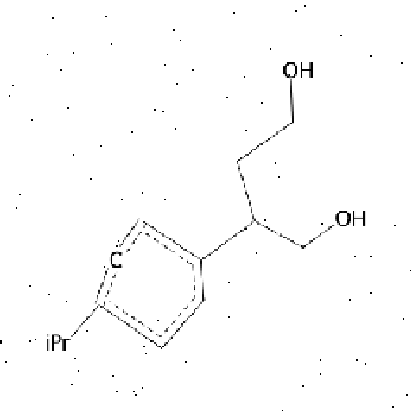 CC(C)c1ccc(C(CO)CCO)cc1